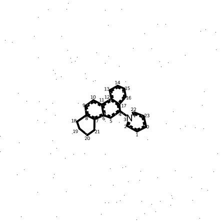 c1cc[n+](-c2cc3c4c(ccc3c3ccccc23)CCCC4)cc1